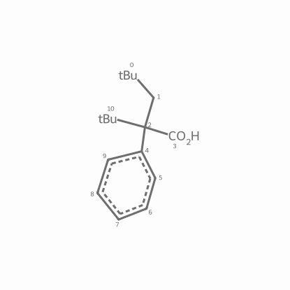 CC(C)(C)CC(C(=O)O)(c1ccccc1)C(C)(C)C